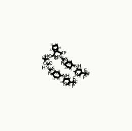 CC(C)(C)OC(=O)Nc1nc2ccc(Nc3cncc(C(F)(F)F)c3)cc2s1.O=C(O)C1C2C=CC(C2)C1C(=O)Nc1nc2ccc(Nc3cncc(C(F)(F)F)c3)cc2s1